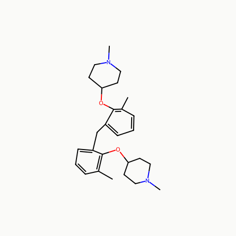 Cc1cccc(Cc2cccc(C)c2OC2CCN(C)CC2)c1OC1CCN(C)CC1